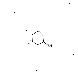 C[C@@H]1CCCC(S)C1